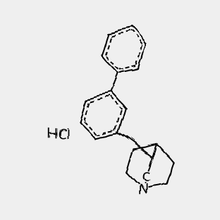 Cl.c1ccc(-c2cccc(C3CN4CCC3CC4)c2)cc1